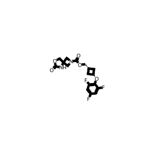 O=C1NC2(CO1)CN(C(=O)OC[C@H]1C[C@@H](Oc3c(F)cc(F)cc3F)C1)C2